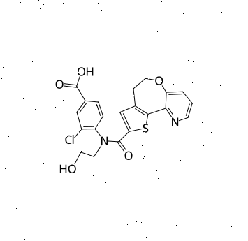 O=C(O)c1ccc(N(CCO)C(=O)c2cc3c(s2)-c2ncccc2OCC3)c(Cl)c1